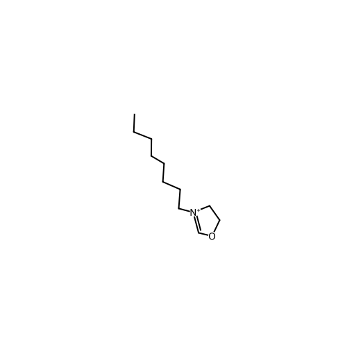 CCCCCCCC[N+]1=COCC1